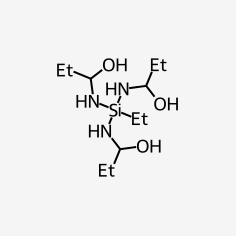 CCC(O)N[Si](CC)(NC(O)CC)NC(O)CC